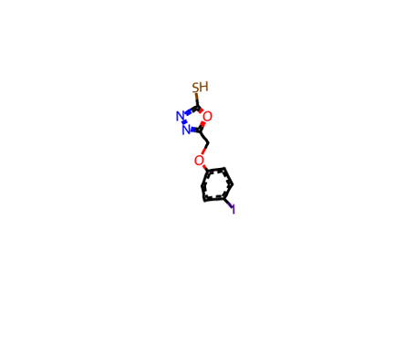 Sc1nnc(COc2ccc(I)cc2)o1